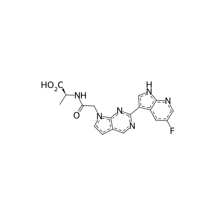 C[C@H](NC(=O)Cn1ccc2cnc(-c3c[nH]c4ncc(F)cc34)nc21)C(=O)O